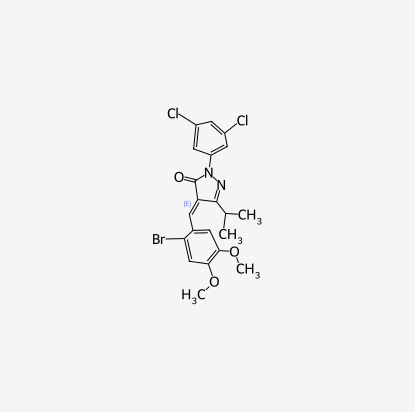 COc1cc(Br)c(/C=C2/C(=O)N(c3cc(Cl)cc(Cl)c3)N=C2C(C)C)cc1OC